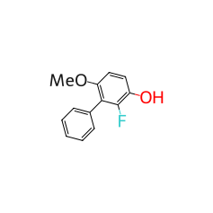 COc1ccc(O)c(F)c1-c1ccccc1